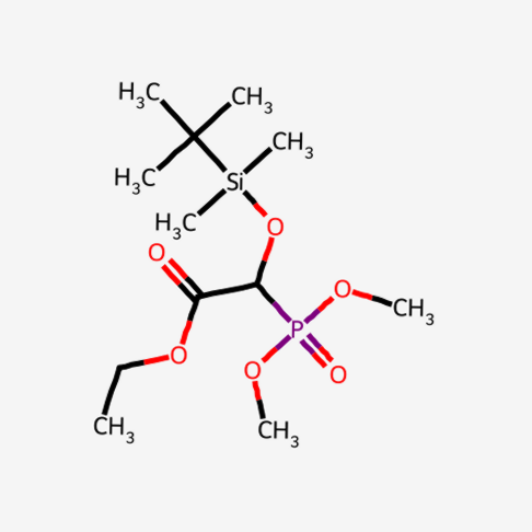 CCOC(=O)C(O[Si](C)(C)C(C)(C)C)P(=O)(OC)OC